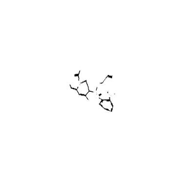 C=CCON(C1CN(C(=O)O)C(CO)C=C1C)S(=O)(=O)c1ccccc1[N+](=O)[O-]